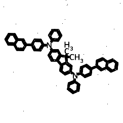 CC1(C)c2cc(N(c3ccccc3)c3ccc(-c4ccc5ccccc5c4)cc3)ccc2-c2ccc(N(c3ccccc3)c3ccc(-c4ccc5ccccc5c4)cc3)cc21